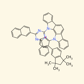 CC1(C)CC(C)(C)c2cc(-c3ccccc3-n3c4ccccc4c4ccc5c6ccccc6n(-c6nc(-c7ccccc7)nc(-c7ccc8ccccc8c7)n6)c5c43)ccc21